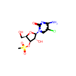 CS(=O)(=O)O[C@@H]1[C@@H](O)[C@H](n2cc(Cl)c(N)nc2=O)O[C@@H]1CO